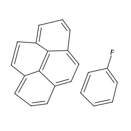 Fc1ccccc1.c1cc2ccc3cccc4ccc(c1)c2c34